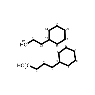 O=C(O)CCCC1CCCCC1.OCCC1CCCCC1